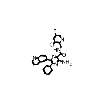 Nc1nc(-c2ccccc2)c(-c2ccc3ncccc3c2)nc1C(=O)NCc1ncc(F)cc1Cl